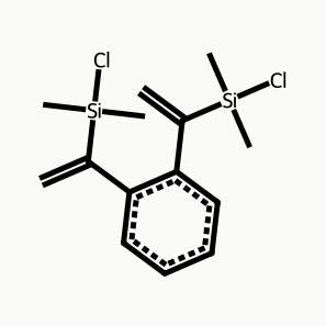 C=C(c1ccccc1C(=C)[Si](C)(C)Cl)[Si](C)(C)Cl